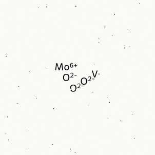 [Mo+6].[O-2].[O-2].[O-2].[V]